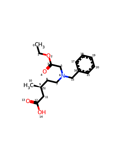 CCOC(=O)CN(CC[C@H](C)CC(=O)O)Cc1ccccc1